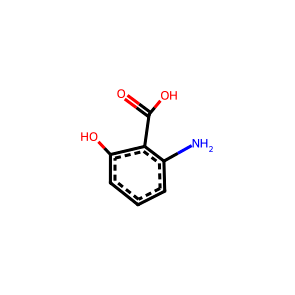 Nc1cccc(O)c1C(=O)O